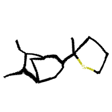 CC1C2CC(C1C)C(C1(C)CCCS1)C2